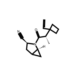 C=CC1([C@H](C)C(=O)N2[C@H](C#N)CC3C[C@@H]32)CCC1